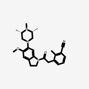 COc1cc2c(cc1N1C[C@@H](C)N(C)[C@@H](C)C1)N(C(=O)Cc1cccc(C#N)c1C)CC2